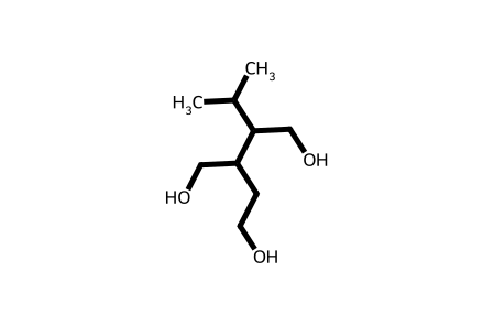 CC(C)C(CO)C(CO)CCO